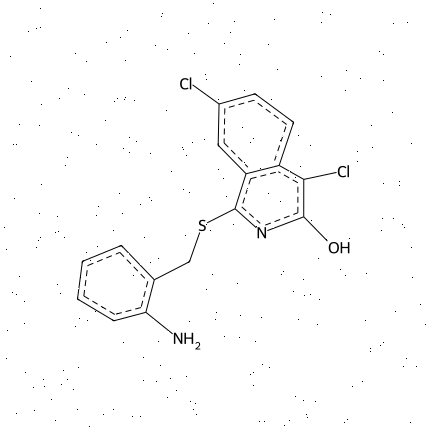 Nc1ccccc1CSc1nc(O)c(Cl)c2ccc(Cl)cc12